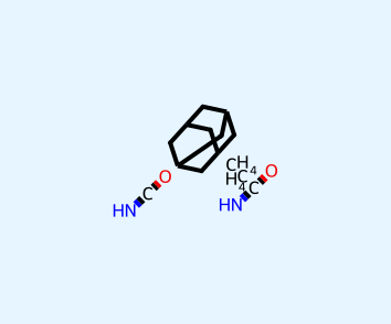 C.C.C1C2CC3CC1CC(C2)C3.N=C=O.N=C=O